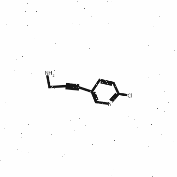 NCC#Cc1ccc(Cl)nc1